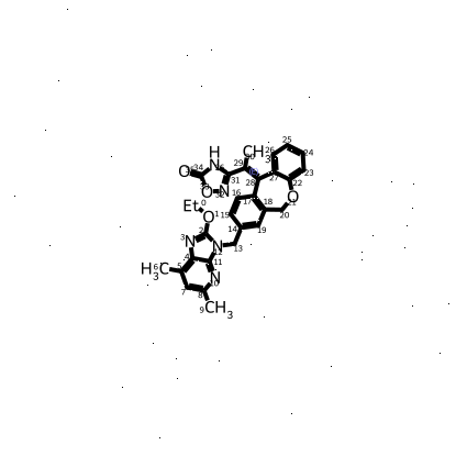 CCOc1nc2c(C)cc(C)nc2n1Cc1ccc2c(c1)COc1ccccc1/C2=C(\C)c1noc(=O)[nH]1